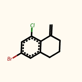 C=C1CCCc2cc(Br)cc(Cl)c21